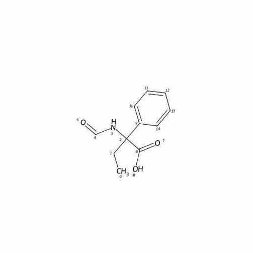 CCC(NC=O)(C(=O)O)c1ccccc1